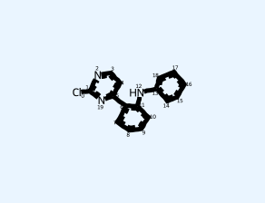 Clc1nccc(-c2ccccc2Nc2ccccc2)n1